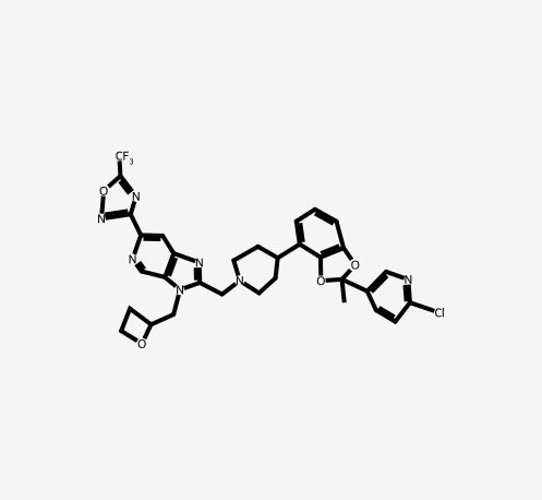 CC1(c2ccc(Cl)nc2)Oc2cccc(C3CCN(Cc4nc5cc(-c6noc(C(F)(F)F)n6)ncc5n4CC4CCO4)CC3)c2O1